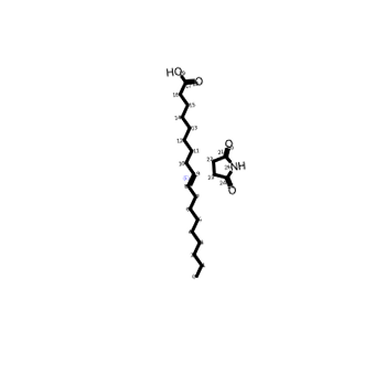 CCCCCCCC/C=C/CCCCCCCC(=O)O.O=C1CCC(=O)N1